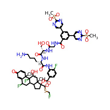 CC12C=CC(=O)C=C1C(F)CC1C3CCC(OC(=O)c4ccc(F)c(NC(=O)[C@H](CCCCN)NC(=O)[C@H](CO)NC(=O)CNC(=O)c5cc(-c6cnc(S(C)(=O)=O)nc6)cc(-c6cnc(S(C)(=O)=O)nc6)c5)c4)(C(=O)SCF)C3(C)CC(O)C12F